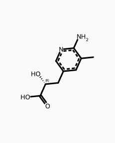 Cc1cc(C[C@@H](O)C(=O)O)cnc1N